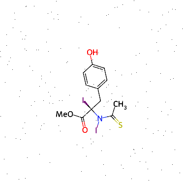 COC(=O)[C@](I)(Cc1ccc(O)cc1)N(I)C(C)=S